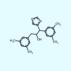 Cc1cc(C)cc(CC(O)C(c2cc(C)cc(C)c2)c2cocn2)c1